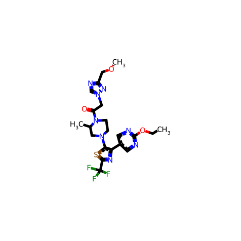 CCOc1ncc(-c2nc(C(F)(F)F)sc2N2CCN(C(=O)Cn3cnc(COC)n3)C(C)C2)cn1